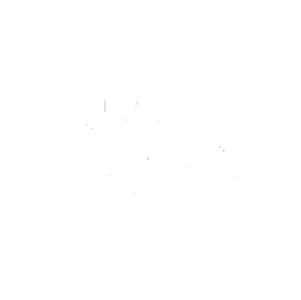 c1ccc(-n2c3ccccc3c3c([Si](c4ccccc4)(c4ccccc4)c4ccc(-n5c6ccccc6c6ccccc65)cc4)cccc32)cc1